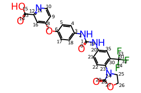 O=C(Nc1ccc(Oc2ccnc(C(=O)O)c2)cc1)Nc1ccc(N2CCOC2=O)c(C(F)(F)F)c1